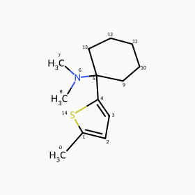 Cc1ccc(C2(N(C)C)CCCCC2)s1